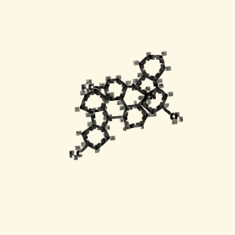 N#Cc1cccc(-n2c3ccccc3c3cc(C(F)(F)F)ccc32)c1-c1cc(C(F)(F)F)ccc1-n1c2ccccc2c2cc(C(F)(F)F)ccc21